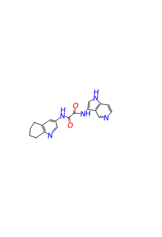 O=C(Nc1cnc2c(c1)CCCC2)C(=O)Nc1c[nH]c2ccncc12